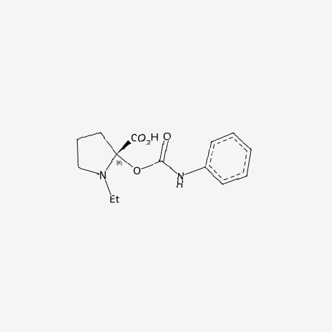 CCN1CCC[C@@]1(OC(=O)Nc1ccccc1)C(=O)O